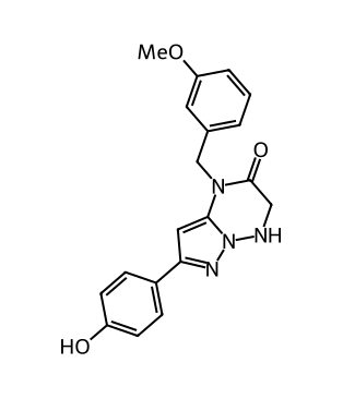 COc1cccc(CN2C(=O)CNn3nc(-c4ccc(O)cc4)cc32)c1